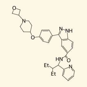 CCC(CC)C(NC(=O)c1ccc2[nH]nc(-c3ccc(OC4CCN(C5COC5)CC4)cc3)c2c1)c1ccccn1